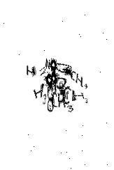 CC(C)=O.CCOc1ccc(N)cc1.CCOc1ccc2ccccc2n1